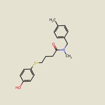 Cc1ccc(CN(C)C(=O)CCCSc2ccc(O)cc2)cc1